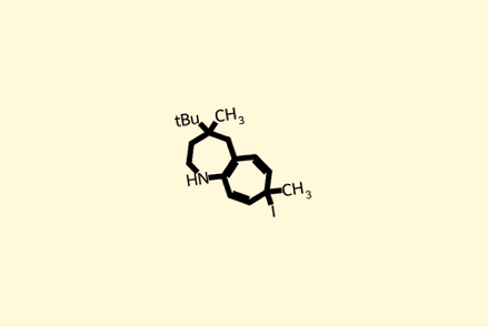 CC1(I)C=CC2=C(C=C1)NCCC(C)(C(C)(C)C)C2